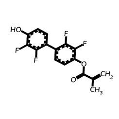 C=C(C)C(=O)Oc1ccc(-c2ccc(O)c(F)c2F)c(F)c1F